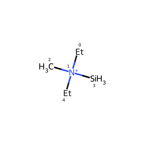 CC[N+](C)([SiH3])CC